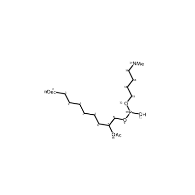 CCCCCCCCCCCCCCCCC(COP(O)OCCCCNC)OC(C)=O